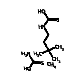 C.CC(C)(C)CCNC(O)=S.NC(O)=S